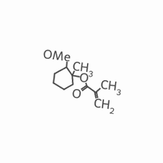 C=C(C)C(=O)OC1(C)CCCCC1OC